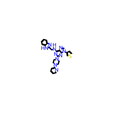 c1ccc(N2CCN(c3nc(NCc4nc5ccccc5[nH]4)c4ncn(-c5ccsc5)c4n3)CC2)nc1